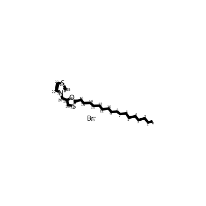 CCCCCCCCCCCCCCCCCC1OC(C[n+]2ccsc2)CS1.[Br-]